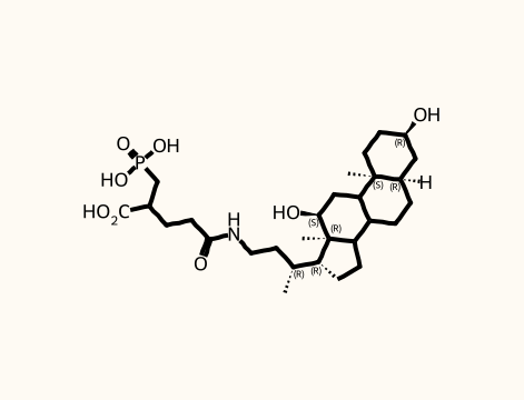 C[C@H](CCNC(=O)CCC(CP(=O)(O)O)C(=O)O)[C@H]1CCC2C3CC[C@@H]4C[C@H](O)CC[C@]4(C)C3C[C@H](O)[C@@]21C